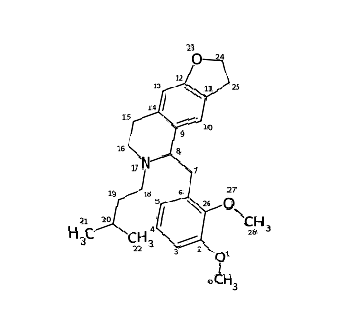 COc1cccc(CC2c3cc4c(cc3CCN2CCC(C)C)OCC4)c1OC